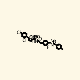 Cc1ccc(-c2nc(-c3ccc(CC(NC(=O)c4ccc(-c5ccc(Cl)cc5Cl)o4)OC=O)cc3F)no2)cc1